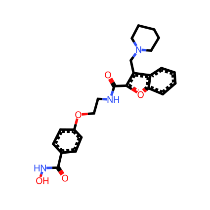 O=C(NO)c1ccc(OCCNC(=O)c2oc3ccccc3c2CN2CCCCC2)cc1